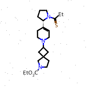 CCOC(=O)N1CCC2(CC(N3CC=C([C@@H]4CCCN4C(=S)CC)CC3)C2)C1